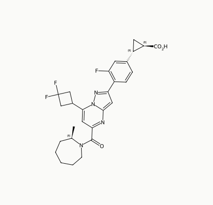 C[C@@H]1CCCCCN1C(=O)c1cc(C2CC(F)(F)C2)n2nc(-c3ccc([C@@H]4C[C@H]4C(=O)O)cc3F)cc2n1